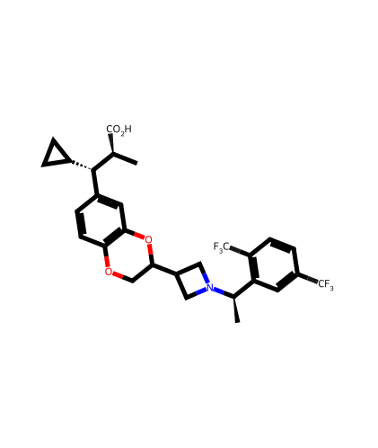 C[C@H](C(=O)O)[C@H](c1ccc2c(c1)OC(C1CN([C@H](C)c3cc(C(F)(F)F)ccc3C(F)(F)F)C1)CO2)C1CC1